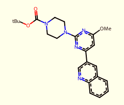 COc1cc(-c2cnc3ccccc3c2)nc(N2CCN(C(=O)OC(C)(C)C)CC2)n1